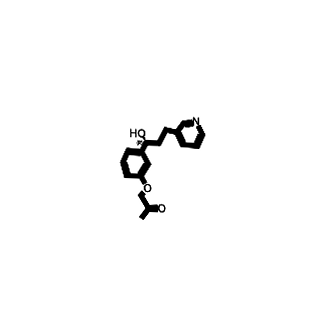 CC(=O)COc1cccc([C@H](O)CCc2cccnc2)c1